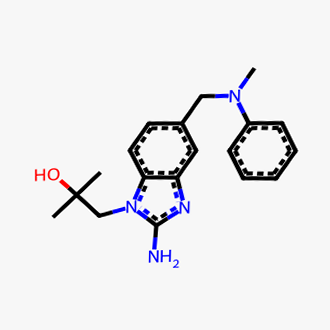 CN(Cc1ccc2c(c1)nc(N)n2CC(C)(C)O)c1ccccc1